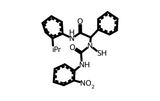 CC(C)c1ccccc1NC(=O)C(c1ccccc1)N(S)C(=O)Nc1ccccc1[N+](=O)[O-]